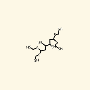 SCSC(CC(S)C(S)CC(SCS)SCS)SCS